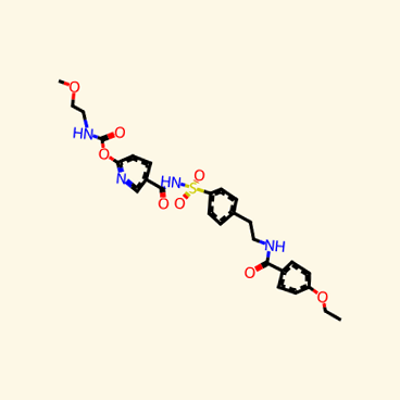 CCOc1ccc(C(=O)NCCc2ccc(S(=O)(=O)NC(=O)c3ccc(OC(=O)NCCOC)nc3)cc2)cc1